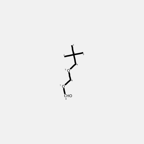 CC(C)(C)COCOC=O